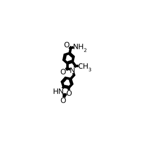 CC1c2cc(C(N)=O)ccc2C(=O)N1Cc1ccc2[nH]c(=O)oc2c1